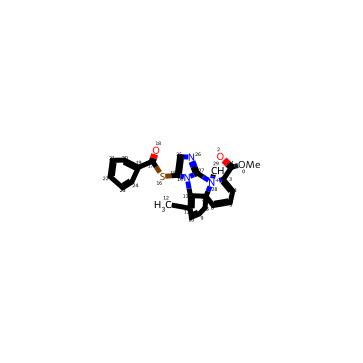 COC(=O)C1=CC=CC23CC=CC(C)=C2n2c(SC(=O)c4ccccc4)cnc2[N+]13C